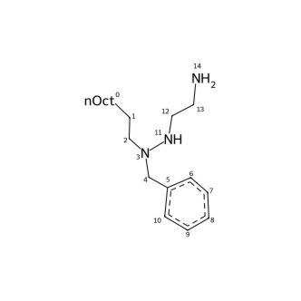 CCCCCCCCCCN(Cc1ccccc1)NCCN